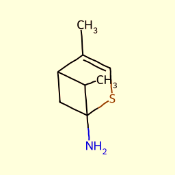 CC1=CSC2(N)CC1C2C